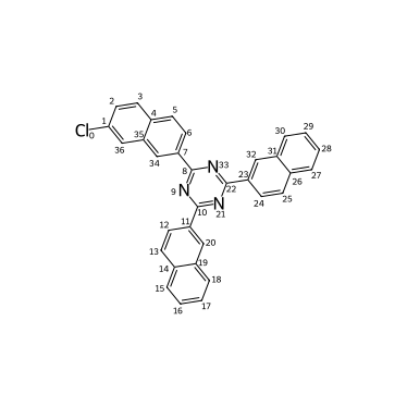 Clc1ccc2ccc(-c3nc(-c4ccc5ccccc5c4)nc(-c4ccc5ccccc5c4)n3)cc2c1